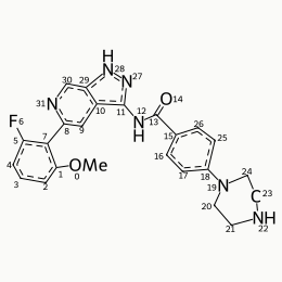 COc1cccc(F)c1-c1cc2c(NC(=O)c3ccc(N4CCNCC4)cc3)n[nH]c2cn1